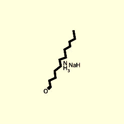 CCCCCCCCCCCC=O.N.[NaH]